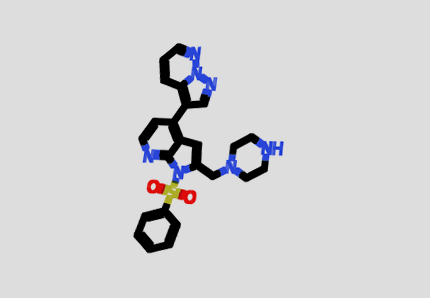 O=S(=O)(c1ccccc1)n1c(CN2CCNCC2)cc2c(-c3cnn4ncccc34)ccnc21